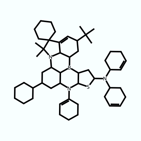 CC(C)(C)C1C=C2C3C(C1)B1C4CC(N(C5C=CCCC5)C5CC=CCC5)SC4N(C4=CCCCC4)C4CC(C5CCCCC5)CC(C14)N3C(C)(C)C21CCCCC1